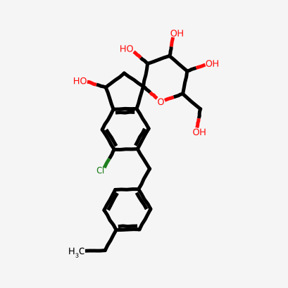 CCc1ccc(Cc2cc3c(cc2Cl)C(O)CC32OC(CO)C(O)C(O)C2O)cc1